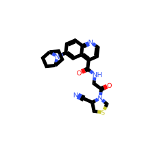 N#CC1CSCN1C(=O)CNC(=O)c1ccnc2ccc(N3C4CCC3CC4)cc12